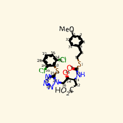 COc1ccc(CCSC(=O)NC(CC(=O)O)C(=O)Cn2nnnc2Sc2c(Cl)cccc2Cl)cc1